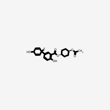 CC(=O)O[C@H]1CC[C@H](OC(=O)c2cc(C3(F)C=CC(O)C=C3)ccc2O)CC1